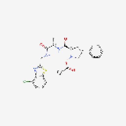 C[C@H](NC(=O)[C@H]1C[C@H](c2ccccc2)CN1OC(=O)C(F)(F)F)C(=O)NCc1nc2c(Cl)cccc2s1